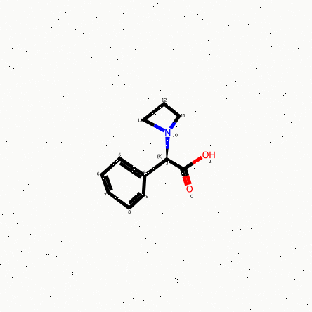 O=C(O)[C@@H](c1ccccc1)N1CCC1